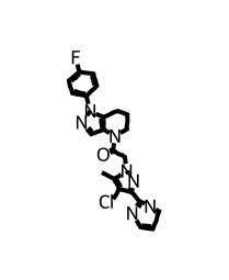 Cc1c(Cl)c(-c2ncccn2)nn1CC(=O)N1CCCc2c1cnn2-c1ccc(F)cc1